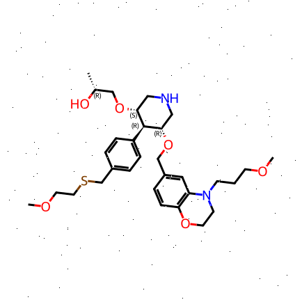 COCCCN1CCOc2ccc(CO[C@H]3CNC[C@@H](OC[C@@H](C)O)[C@@H]3c3ccc(CSCCOC)cc3)cc21